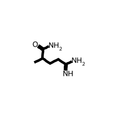 CC(CCC(=N)N)C(N)=O